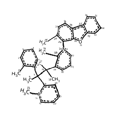 Cc1ccccc1C(C)(c1cccc[n+]1C)C(C)(C)c1ccc[n+](-c2c(C)ccc3c2oc2ccccc23)c1C